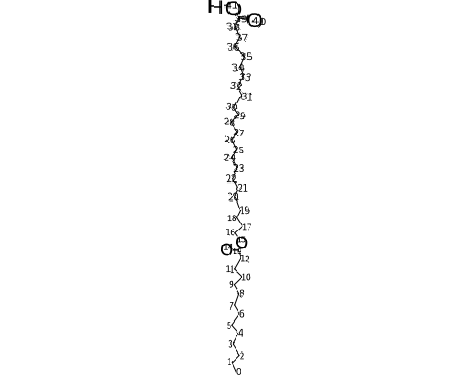 CCCCCCCCCCCCCC(=O)OCCCCCCCCCCCCCCCCCCCCCCCC(=O)O